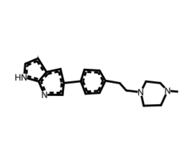 CN1CCN(CCc2ccc(-c3cnc4[nH]c[c]c4c3)cc2)CC1